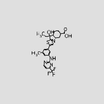 CCC(O)(c1ncc(-c2cc(C)cc(Nc3nccc(C(F)(F)F)n3)c2)s1)C1CCC(C(=O)O)CC1